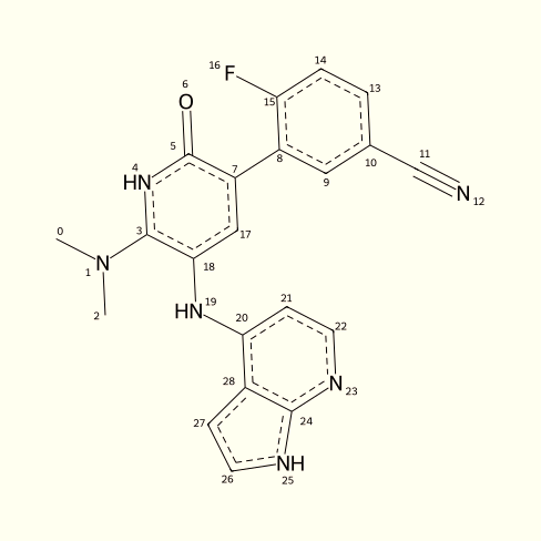 CN(C)c1[nH]c(=O)c(-c2cc(C#N)ccc2F)cc1Nc1ccnc2[nH]ccc12